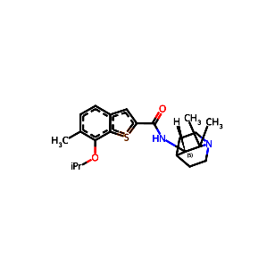 Cc1ccc2cc(C(=O)N[C@H]3C4CCN(CC4)C3(C)C)sc2c1OC(C)C